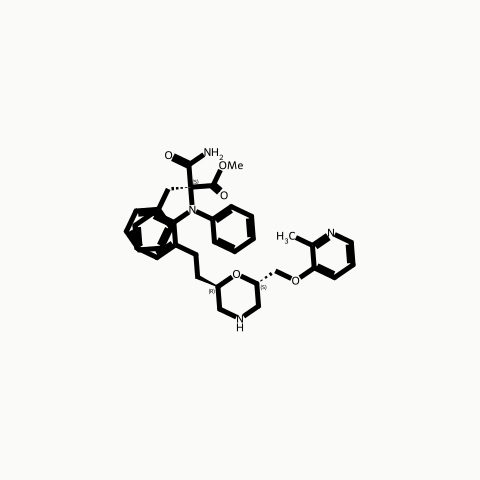 COC(=O)[C@](Cc1ccccc1)(C(N)=O)N(c1ccccc1)c1ccccc1CC[C@@H]1CNC[C@@H](COc2cccnc2C)O1